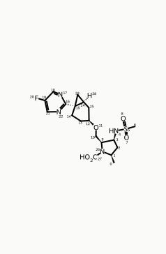 C[C@@H]1C[C@H](NS(C)(=O)=O)[C@H](CO[C@H]2CC[C@@]3(c4ncc(F)cn4)C[C@H]3C2)N1C(=O)O